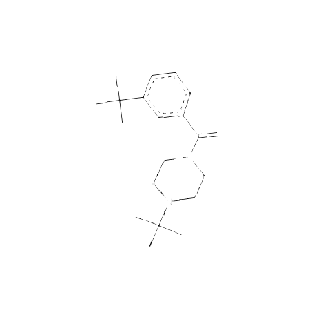 CC(C)(C)c1cccc(C(=O)N2CCN(C(C)(C)C)CC2)c1